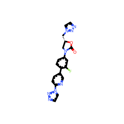 O=C1O[C@@H](Cn2ccnn2)CN1c1ccc(-c2ccc(-n3ccnn3)nc2)c(F)c1